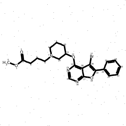 COC(=O)CCCN1CCCC(Oc2ncnc3oc(-c4ccccc4)c(Br)c23)C1